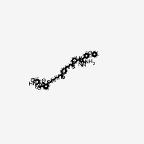 Nc1ncnc2c1c(-c1ccc(Oc3ccccc3)cc1)nn2C1CCCN(C(=O)CCCN2CCN(C(=O)CCCCCCSc3cccc4c3C(=O)N(C3CCC(=O)NC3=O)C4=O)CC2)C1